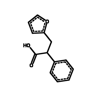 O=C(O)C(Cc1ccco1)c1ccccc1